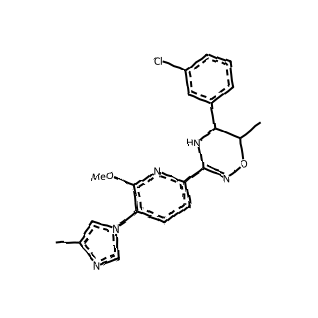 COc1nc(C2=NOC(C)C(c3cccc(Cl)c3)N2)ccc1-n1cnc(C)c1